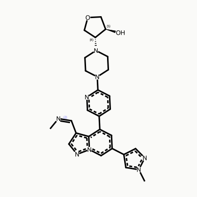 C/N=C\c1cnn2cc(-c3cnn(C)c3)cc(-c3ccc(N4CCN([C@@H]5COC[C@H]5O)CC4)nc3)c12